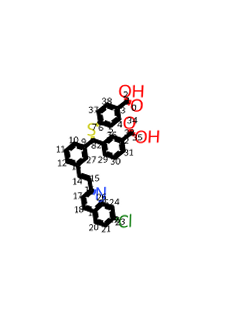 O=C(O)c1ccc(SC(c2cccc(/C=C/c3ccc4ccc(Cl)cc4n3)c2)c2cccc(C(=O)O)c2)cc1